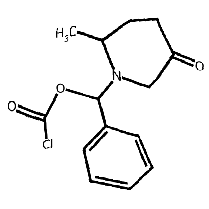 CC1CCC(=O)CN1C(OC(=O)Cl)c1ccccc1